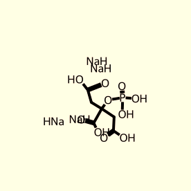 O=C(O)CC(CC(=O)O)(OP(=O)(O)O)C(=O)O.[NaH].[NaH].[NaH].[NaH]